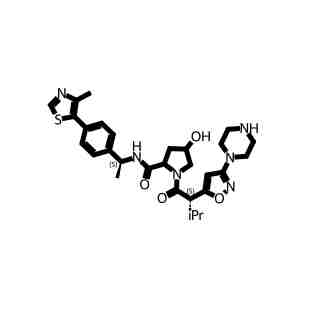 Cc1ncsc1-c1ccc([C@H](C)NC(=O)C2CC(O)CN2C(=O)[C@H](c2cc(N3CCNCC3)no2)C(C)C)cc1